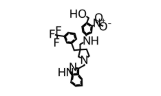 O=[N+]([O-])c1cc(NCC2(Cc3cccc(C(F)(F)F)c3)CCN(Cc3n[nH]c4ccccc34)C2)ccc1CO